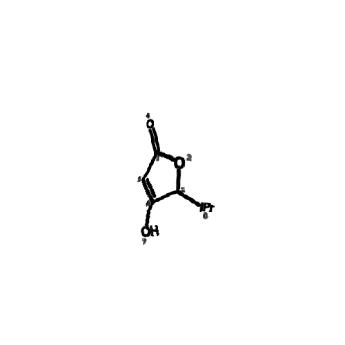 CC(C)C1OC(=O)C=C1O